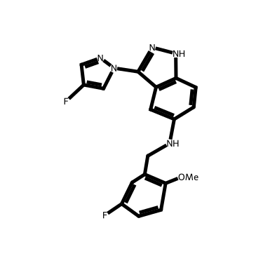 COc1ccc(F)cc1CNc1ccc2[nH]nc(-n3cc(F)cn3)c2c1